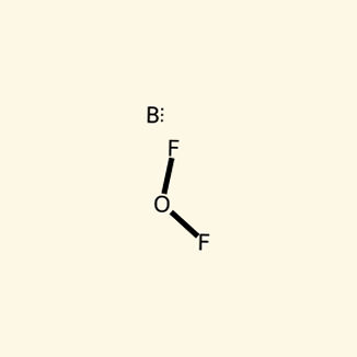 FOF.[B]